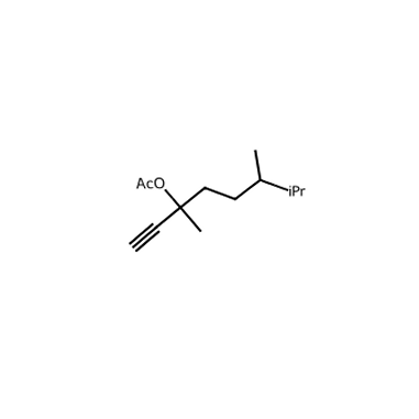 C#CC(C)(CCC(C)C(C)C)OC(C)=O